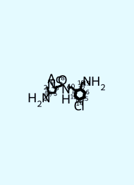 CC(=O)N1C[C@H](N)CC1C(=O)NCc1cc(Cl)ccc1CN